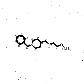 COCCNCC1CCN(Cc2ccccc2)CC1